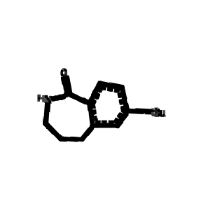 CC(C)(C)c1ccc2c(c1)CCCNC2=O